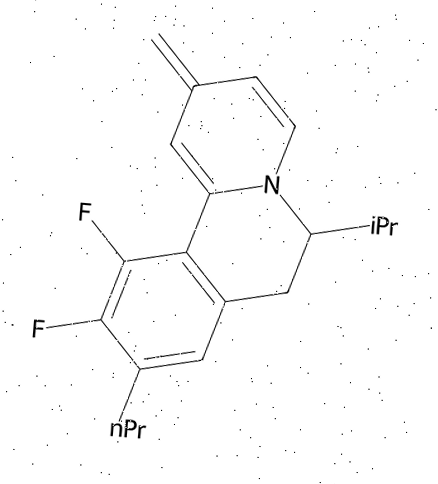 C=C1C=CN2C(=C1)c1c(cc(CCC)c(F)c1F)CC2C(C)C